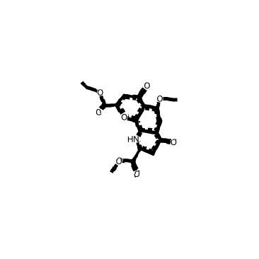 CCOC(=O)c1cc(=O)c2c(OC)cc3c(=O)cc(C(=O)OC)[nH]c3c2o1